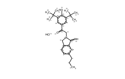 CCCc1ccc2c(n1)C(=N)N(CC(=O)c1cc(C(C)(C)C)c(O)c(C(C)(C)C)c1)C2.Cl